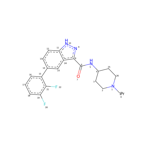 CC(C)N1CCC(NC(=O)c2n[nH]c3ccc(-c4cccc(F)c4F)cc23)CC1